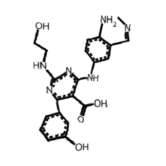 C/N=C\c1cc(Nc2nc(NCCO)nc(-c3cccc(O)c3)c2C(=O)O)ccc1N